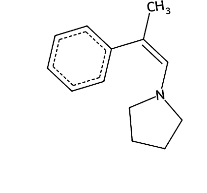 C/C(=C/N1CCCC1)c1ccccc1